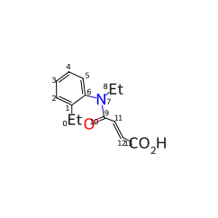 CCc1ccccc1N(CC)C(=O)C=CC(=O)O